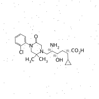 CC1(C)CN(c2ccccc2Cl)C(=O)CN1C[C@H](N)[C@@H](O)C[C@H](C(=O)O)C1CC1